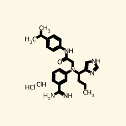 CCCC(c1c[nH]cn1)N(CC(=O)Nc1ccc(C(C)C)cc1)c1cccc(C(=N)N)c1.Cl.Cl